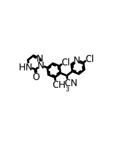 Cc1cc(N2N=CCNC2=O)cc(Cl)c1C(C#N)c1ccc(Cl)nc1